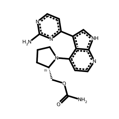 NC(=O)OC[C@@H]1CCCN1c1ccnc2[nH]cc(-c3ccnc(N)n3)c12